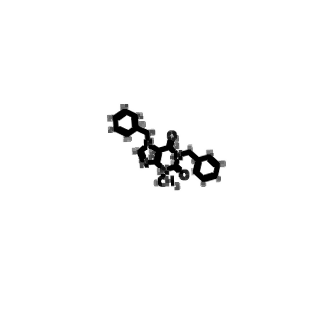 Cn1c(=O)n(Cc2ccccc2)c(=O)c2c1ncn2Cc1ccccc1